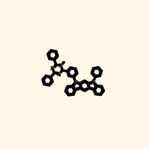 CN1C(c2ccccc2)=NC(c2ccccc2)=NC1c1cccc(-n2c3ccccc3c3cc4c5ccccc5n(-c5ccccc5)c4cc32)c1